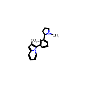 CCOC(=O)c1cc2ccccn2c1-c1cccc(C2CCCN2C)c1